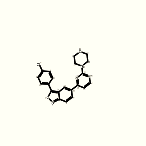 Clc1ccc(-c2onc3ccc(-c4ccnc(N5CCOCC5)n4)cc23)cc1